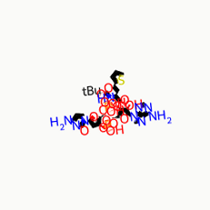 CC(C)(C)OC(=O)N[C@@H](CC[C@H]1CCCS1)C(=O)O[C@H]1[C@@H](O)[C@H](n2cnc3c(N)ncnc32)O[C@@H]1COP(=O)(O)O[C@H]1C[C@H](n2ccc(N)nc2=O)O[C@@H]1COP(=O)(O)O